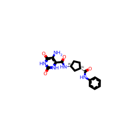 Nc1c(C(=O)N[C@@H]2CC[C@H](C(=O)Nc3ccccc3)C2)[nH]c(=O)[nH]c1=O